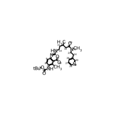 Cc1c(NC(=O)OC(C)(C)C)ccc2nc(NCCC(C)CC(=O)N(C)CCc3cccnc3)oc(=O)c12